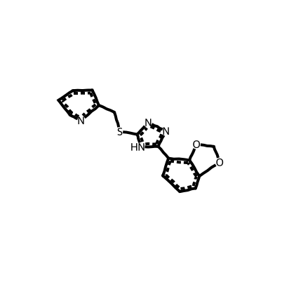 c1ccc(CSc2nnc(-c3cccc4c3OCO4)[nH]2)nc1